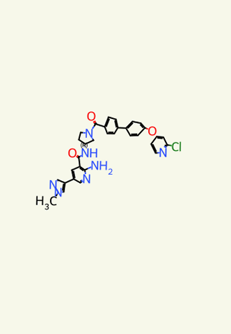 Cn1cc(-c2cnc(N)c(C(=O)N[C@@H]3CCN(C(=O)c4ccc(-c5ccc(Oc6ccnc(Cl)c6)cc5)cc4)C3)c2)cn1